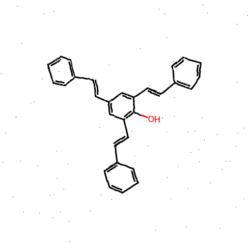 Oc1c(C=Cc2ccccc2)cc(C=Cc2ccccc2)cc1C=Cc1ccccc1